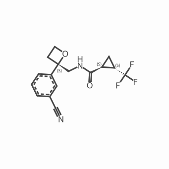 N#Cc1cccc([C@]2(CNC(=O)[C@H]3C[C@@H]3C(F)(F)F)CCO2)c1